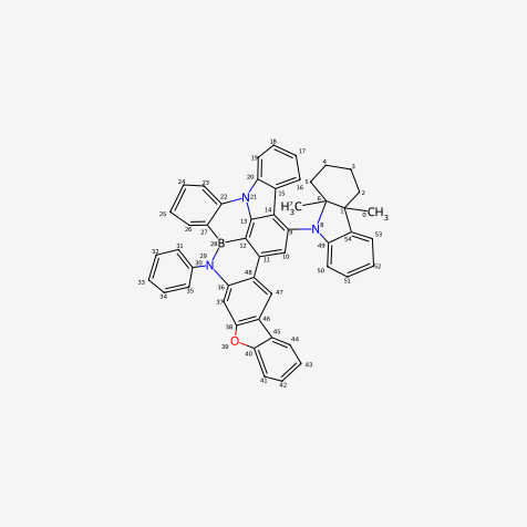 CC12CCCCC1(C)N(c1cc3c4c5c1c1ccccc1n5-c1ccccc1B4N(c1ccccc1)c1cc4oc5ccccc5c4cc1-3)c1ccccc12